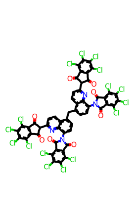 O=C1c2c(Cl)c(Cl)c(Cl)c(Cl)c2C(=O)C1c1ccc2c(Cc3ccc(N4C(=O)c5c(Cl)c(Cl)c(Cl)c(Cl)c5C4=O)c4nc(C5C(=O)c6c(Cl)c(Cl)c(Cl)c(Cl)c6C5=O)ccc34)ccc(N3C(=O)c4c(Cl)c(Cl)c(Cl)c(Cl)c4C3=O)c2n1